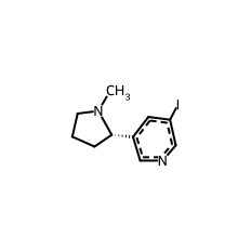 CN1CCC[C@H]1c1cncc(I)c1